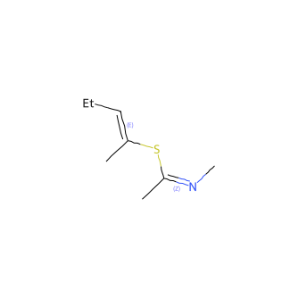 CC/C=C(\C)S/C(C)=N\C